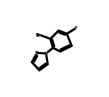 Fc1ccc(-n2cccn2)c(Br)c1